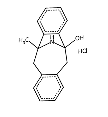 CC12Cc3ccccc3CC(O)(N1)c1ccccc12.Cl